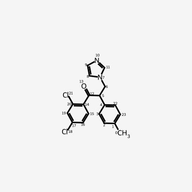 Cc1ccc(C(Cn2ccnc2)C(=O)c2ccc(Cl)cc2Cl)cc1